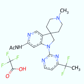 CC(=O)Nc1cc2c(cn1)C1(CCN(C)CC1)CN2c1nccc(C(C)(F)F)n1.O=C(O)C(F)(F)F